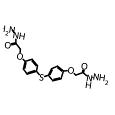 NNC(=O)COc1ccc(Sc2ccc(OCC(=O)NN)cc2)cc1